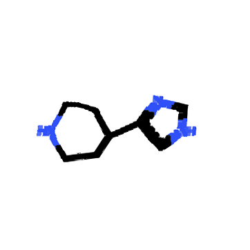 c1nc(C2CCNCC2)c[nH]1